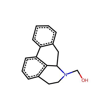 OCN1CCc2cccc3c2C1Cc1ccccc1-3